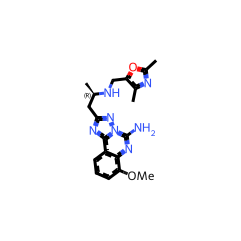 COc1cccc2c1nc(N)n1nc(C[C@@H](C)NCc3oc(C)nc3C)nc21